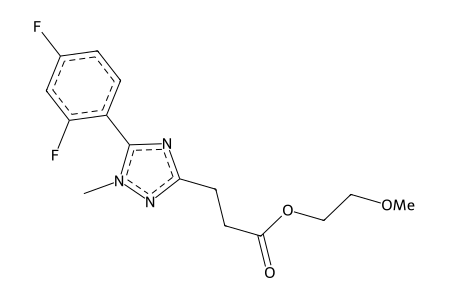 COCCOC(=O)CCc1nc(-c2ccc(F)cc2F)n(C)n1